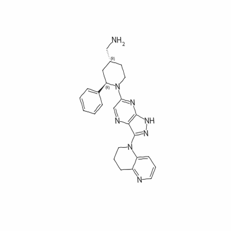 NC[C@@H]1CCN(c2cnc3c(N4CCCc5ncccc54)n[nH]c3n2)[C@@H](c2ccccc2)C1